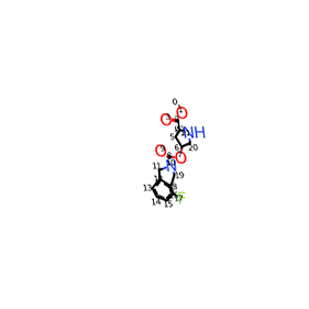 COC(=O)[C@@H]1CC(OC(=O)N2Cc3cccc(F)c3C2)CN1